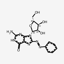 Nc1nc2c(nc(N=Nc3ccccc3)n2[C@@H]2O[C@H](CO)[C@@H](O)[C@H]2O)c(=O)[nH]1